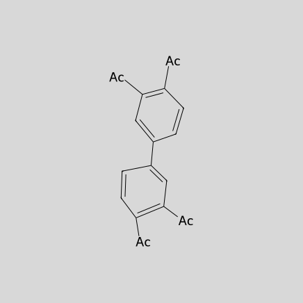 CC(=O)c1ccc(-c2ccc(C(C)=O)c(C(C)=O)c2)cc1C(C)=O